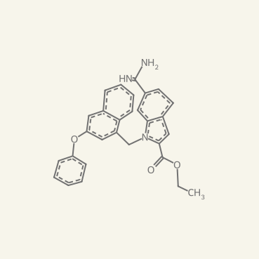 CCOC(=O)c1cc2ccc(C(=N)N)cc2n1Cc1cc(Oc2ccccc2)cc2ccccc12